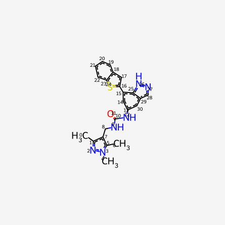 Cc1nn(C)c(C)c1CNC(=O)Nc1cc(-c2cc3ccccc3s2)c2[nH]ncc2c1